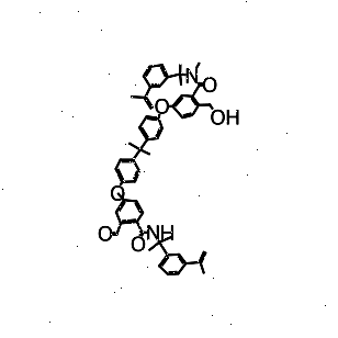 C=C(C)c1cccc(C(C)(C)NC(=O)c2ccc(Oc3ccc(C(C)(C)c4ccc(Oc5ccc(CO)c(C(=O)N(C)C(C)(C)c6cccc(C(=C)C)c6)c5)cc4)cc3)cc2C=O)c1